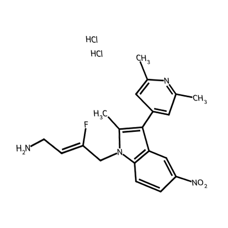 Cc1cc(-c2c(C)n(C/C(F)=C/CN)c3ccc([N+](=O)[O-])cc23)cc(C)n1.Cl.Cl